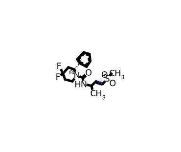 CC(/C=C/S(C)(=O)=O)NC(=O)N1CCC(F)(F)C[C@@H]1c1ccccc1